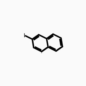 Ic1c[c]c2ccccc2c1